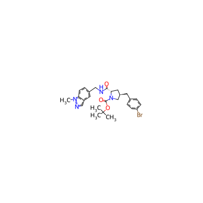 Cn1ncc2cc(CNC(=O)[C@@H]3C[C@@H](Cc4ccc(Br)cc4)CN3C(=O)OC(C)(C)C)ccc21